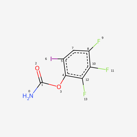 NC(=O)Oc1c(I)cc(F)c(F)c1F